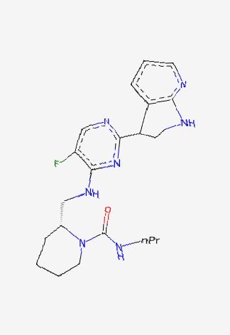 CCCNC(=O)N1CCCC[C@@H]1CNc1nc(C2CNc3ncccc32)ncc1F